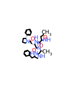 CC1CC(C(=O)N[C@@H](CC(=O)N2CCC[C@@H]2c2ccccc2)C(=O)N[C@@H](C)C2NCC(Cc3ccccc3)N2)NO1